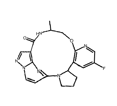 CC1COc2ncc(F)cc2C2CCCN2c2ccn3ncc(c3n2)C(=O)N1